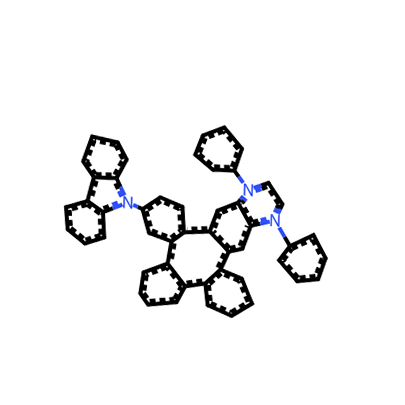 c1ccc(-n2ccn(-c3ccccc3)c3cc4c5ccc(-n6c7ccccc7c7ccccc76)cc5c5ccccc5c5ccccc5c4cc32)cc1